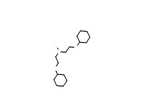 [CH2]CN(CCOC1CCCCC1)CCOC1CCCCC1